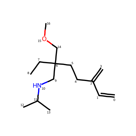 C=CC(=C)CCC(CC)(CNC(C)C)COC